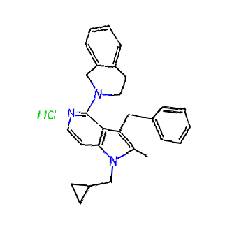 Cc1c(Cc2ccccc2)c2c(N3CCc4ccccc4C3)nccc2n1CC1CC1.Cl